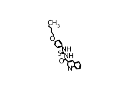 CCCCCOc1ccc(NC(=S)NC(=O)c2cnc3ccccc3c2)cc1